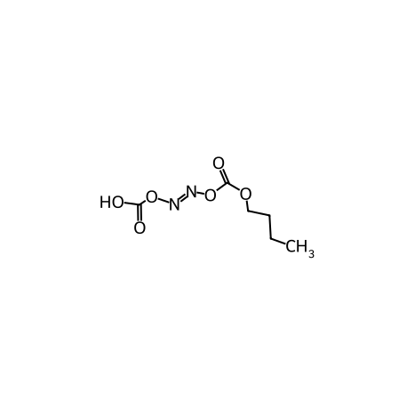 CCCCOC(=O)ON=NOC(=O)O